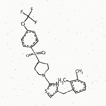 Cc1cccc(Cc2csc(N3CCC(S(=O)(=O)c4ccc(OC(F)(F)F)cc4)CC3)n2)c1C